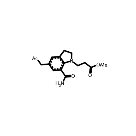 COC(=O)CCN1CCc2cc(CC(C)=O)cc(C(N)=O)c21